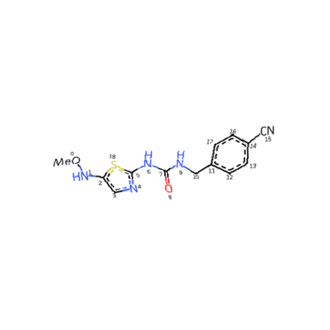 CONc1cnc(NC(=O)NCc2ccc(C#N)cc2)s1